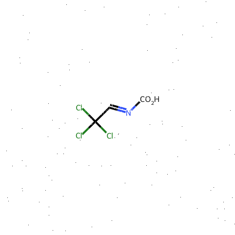 O=C(O)/N=C/C(Cl)(Cl)Cl